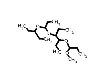 CCC(CC)OC(CC)OC(CC)C(CC)OC(CC)OC